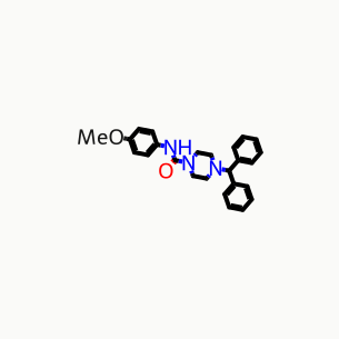 COc1ccc(NC(=O)N2CCN(C(c3ccccc3)c3ccccc3)CC2)cc1